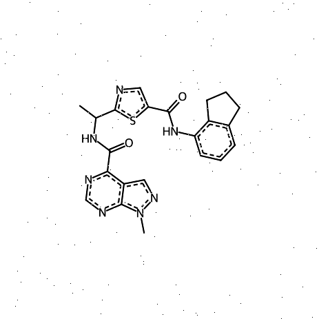 CC(NC(=O)c1ncnc2c1cnn2C)c1ncc(C(=O)Nc2cccc3c2CCC3)s1